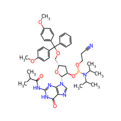 COc1ccc(C(OC[C@@H]2C[C@@H](OP(OCCC#N)N(C(C)C)C(C)C)[C@H](n3cnc4c(=O)[nH]c(NC(=O)C(C)C)nc43)O2)(c2ccccc2)c2ccc(OC)cc2)cc1